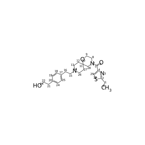 CCc1nc(C(=O)N2CCOC3(CCN(CCc4ccc(CCO)cc4)CC3)C2)cs1